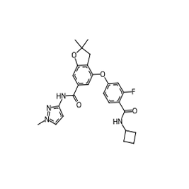 Cn1ccc(NC(=O)c2cc(Oc3ccc(C(=O)NC4CCC4)c(F)c3)c3c(c2)OC(C)(C)C3)n1